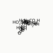 Cc1c(C)c(S(=O)(=O)NC(=N)NCCC[C@H](NC(=O)c2nc(N)c(C(=O)N[C@@H](CCCNC=N)C(=O)O)nc2N)C(=O)O)c(C)c2c1OC(C)(C)C2